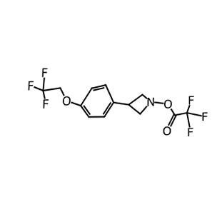 O=C(ON1CC(c2ccc(OCC(F)(F)F)cc2)C1)C(F)(F)F